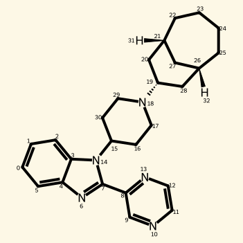 c1ccc2c(c1)nc(-c1cnccn1)n2C1CCN([C@@H]2C[C@@H]3CCCC[C@@H](C3)C2)CC1